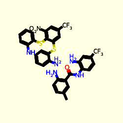 Cc1ccc(N)c(C(=O)Nc2ccc(C(F)(F)F)cc2N)c1.Nc1ccccc1Sc1cc(C(F)(F)F)cc([N+](=O)[O-])c1Sc1ccccc1N